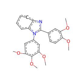 COc1ccc(-c2nc3ccccc3n2-c2cc(OC)c(OC)c(OC)c2)cc1OC